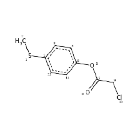 CSc1ccc(OC(=O)CCl)cc1